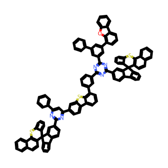 c1ccc(-c2cc(-c3nc(-c4cccc(-c5cccc6c5sc5cc(-c7cc(-c8ccccc8)nc(-c8ccc9c(c8)C8(c%10ccccc%10Sc%10c8ccc8ccccc%108)c8ccccc8-9)n7)ccc56)c4)nc(-c4ccc5c(c4)C4(c6ccccc6Sc6c4ccc4ccccc64)c4ccccc4-5)n3)cc(-c3cccc4c3oc3ccccc34)c2)cc1